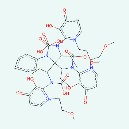 CCC(N(C(=O)O)c1c(O)c(=O)ccn1CCOC)C(C(CC)N(C(=O)O)c1c(O)c(=O)ccn1CCOC)(C(CC)N(C(=O)O)c1c(O)c(=O)ccn1CCOC)N(C(=O)O)c1ccccc1